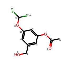 CC(=O)Oc1cc(CO)cc(OC(F)F)c1